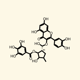 CC1C[C@@H](C(O)Oc2c(-c3ccc(O)c(O)c3)oc3cc(O)cc(O)c3c2=O)C(OC(=O)c2cc(O)c(O)c(O)c2)C1O